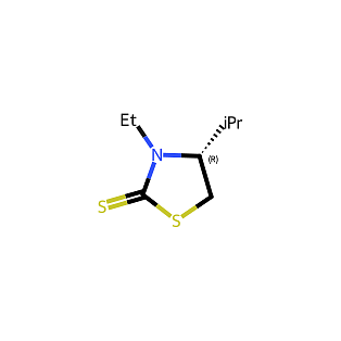 CCN1C(=S)SC[C@H]1C(C)C